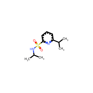 CC(C)NS(=O)(=O)c1cccc(C(C)C)n1